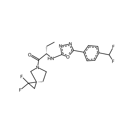 CC[C@H](Nc1nnc(-c2ccc(C(F)F)cc2)o1)C(=O)N1CC[C@]2(C1)CC2(F)F